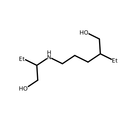 CCC(CO)CCCNC(CC)CO